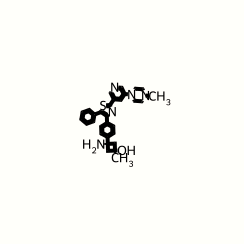 CN1CCN(c2cncc(-c3nc(-c4ccc([C@]5(N)C[C@](C)(O)C5)cc4)c(-c4ccccc4)s3)c2)CC1